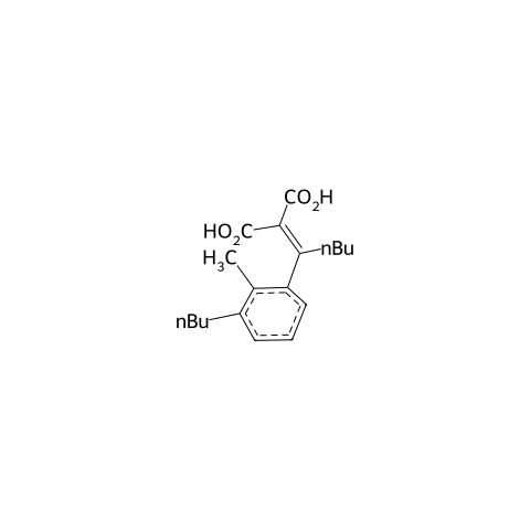 CCCCC(=C(C(=O)O)C(=O)O)c1cccc(CCCC)c1C